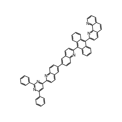 c1ccc(-c2cc(-c3ccc4cc(-c5ccc6nc(-c7c8ccccc8c(-c8ccc9ccc%10cccnc%10c9n8)c8ccccc78)ccc6c5)ccc4n3)nc(-c3ccccc3)n2)cc1